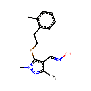 Cc1ccccc1CCSc1c(/C=N/O)c(C(F)(F)F)nn1C